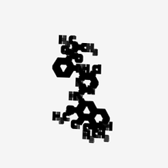 COc1c(Nc2ncc(Cl)c(Nc3ccccc3S(=O)(=O)C(C)C)n2)cc2c(c1Cl)C(C)(C)NCC2